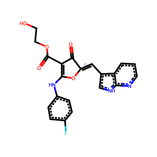 O=C(OCCO)C1=C(Nc2ccc(F)cc2)O/C(=C\c2c[nH]c3ncccc23)C1=O